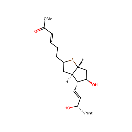 CCCCC[C@H](O)/C=C/[C@@H]1[C@H]2CC(CC/C=C/C(=O)OC)S[C@@H]2C[C@H]1O